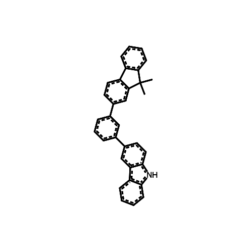 CC1(C)c2ccccc2-c2ccc(-c3cccc(-c4ccc5[nH]c6ccccc6c5c4)c3)cc21